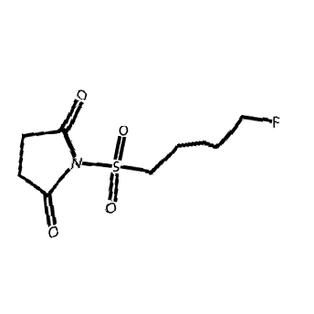 O=C1CCC(=O)N1S(=O)(=O)CCCCF